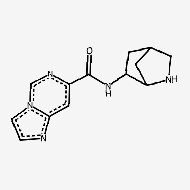 O=C(NC1CC2CNC1C2)c1cc2nccn2cn1